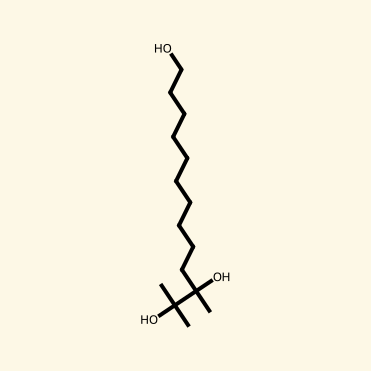 CC(C)(O)C(C)(O)CCCCCCCCCCO